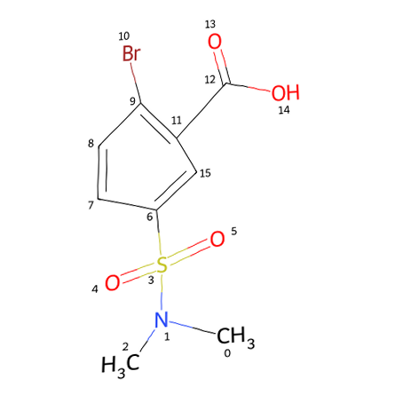 CN(C)S(=O)(=O)c1ccc(Br)c(C(=O)O)c1